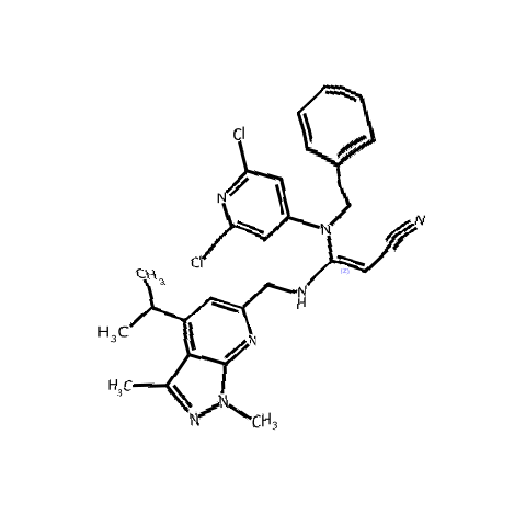 Cc1nn(C)c2nc(CN/C(=C/C#N)N(Cc3ccccc3)c3cc(Cl)nc(Cl)c3)cc(C(C)C)c12